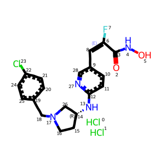 Cl.Cl.O=C(NO)/C(F)=C\c1ccc(N[C@@H]2CCN(Cc3ccc(Cl)cc3)C2)nc1